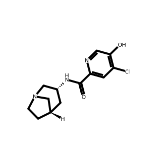 O=C(N[C@@H]1C[C@@H]2CCN(C2)C1)c1cc(Cl)c(O)cn1